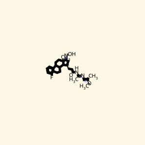 CO/C(C)=C/N=C(\C)NC(=O)CC[C@@H]1C/C(=N\O)[C@@]2(C)CCC3c4cccc(F)c4CCC3C12